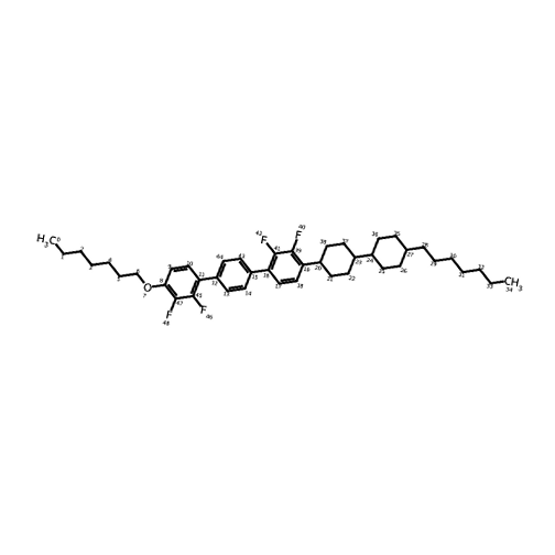 CCCCCCCOc1ccc(-c2ccc(-c3ccc(C4CCC(C5CCC(CCCCCCC)CC5)CC4)c(F)c3F)cc2)c(F)c1F